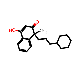 CC1(CCCC2CCCCC2)C(=O)C=C(O)c2ccccc21